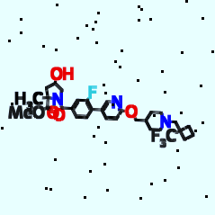 COC(=O)C1(C)CC(O)CN1C(=O)c1ccc(-c2ccc(OCC3CCN(CC4(C(F)(F)F)CCC4)CC3)nc2)c(F)c1